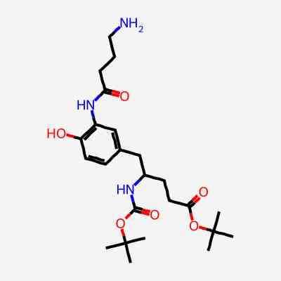 CC(C)(C)OC(=O)CCC(Cc1ccc(O)c(NC(=O)CCCN)c1)NC(=O)OC(C)(C)C